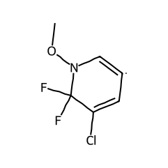 CON1C=[C]C=C(Cl)C1(F)F